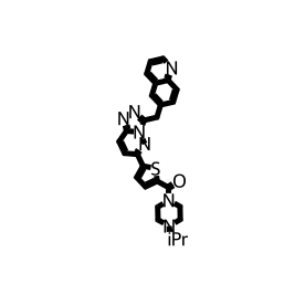 CC(C)N1CCN(C(=O)c2ccc(-c3ccc4nnc(Cc5ccc6ncccc6c5)n4n3)s2)CC1